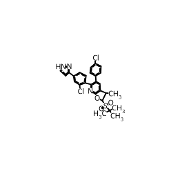 CC1c2cc(-c3ccc(Cl)cc3)c(-c3ccc(-c4cc[nH]n4)cc3Cl)nc2OC1S(=O)(=O)C(C)(C)C